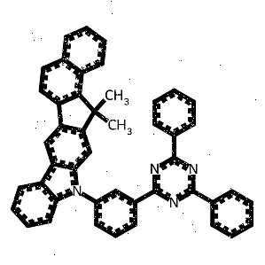 CC1(C)c2cc3c(cc2-c2ccc4ccccc4c21)c1ccccc1n3-c1cccc(-c2nc(-c3ccccc3)nc(-c3ccccc3)n2)c1